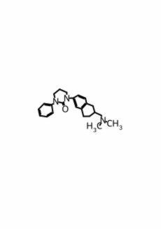 CN(C)CC1CCc2cc(N3CCCN(c4ccccc4)C3=O)ccc2C1